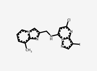 Cc1cccn2cc(CNc3cc(Cl)nc4c(I)cnn34)nc12